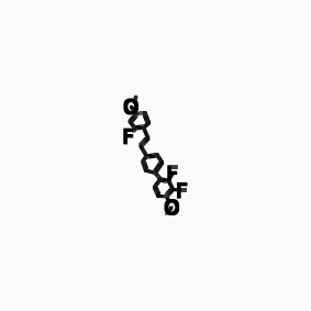 COc1ccc(/C=C/c2ccc(-c3ccc(OC)c(F)c3F)cc2)c(F)c1